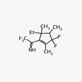 CCC1(C)C(C(=N)C(F)(F)F)=C(C)C(F)(F)C1C